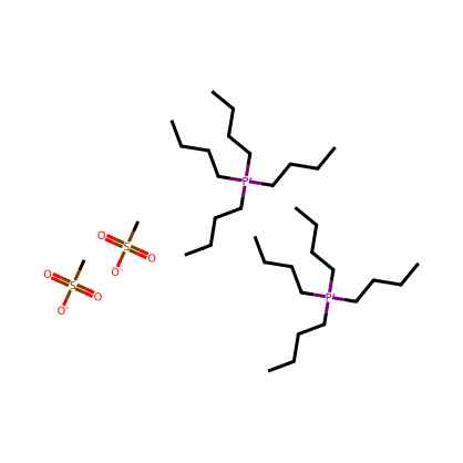 CCCC[P+](CCCC)(CCCC)CCCC.CCCC[P+](CCCC)(CCCC)CCCC.CS(=O)(=O)[O-].CS(=O)(=O)[O-]